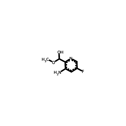 COC(O)c1ncc(F)cc1N